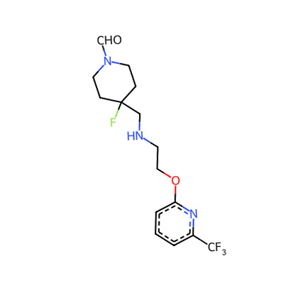 O=CN1CCC(F)(CNCCOc2cccc(C(F)(F)F)n2)CC1